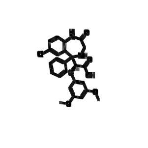 COc1cc(OC)cc(O[C@H](C(=O)O)C2(c3ccccc3)NCC(=O)Nc3ccc(Cl)cc32)c1